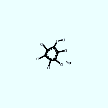 ClOc1c(Cl)c(Cl)c(Cl)c(Cl)c1Cl.[Mg]